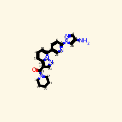 Nc1cnn(-c2ccc(-c3cccc4c(C(=O)N5CCCCC5)cnn34)cn2)c1